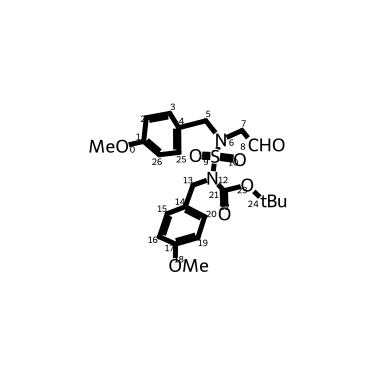 COc1ccc(CN(CC=O)S(=O)(=O)N(Cc2ccc(OC)cc2)C(=O)OC(C)(C)C)cc1